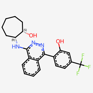 Oc1cc(C(F)(F)F)ccc1-c1nnc(N[C@@H]2CCCCC[C@@H]2O)c2ccccc12